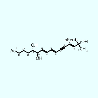 CCCCCC(C)(O)/C=C/C#C/C=C/C=C/[C@@H](O)[C@@H](O)CCCC(C)=O